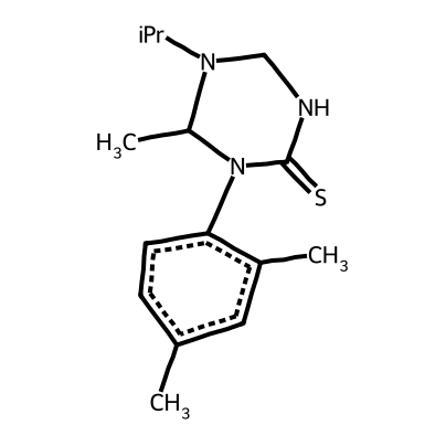 Cc1ccc(N2C(=S)NCN(C(C)C)C2C)c(C)c1